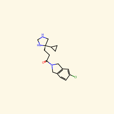 O=C(CC[C@]1(C2CC2)CNCN1)N1Cc2ccc(Cl)cc2C1